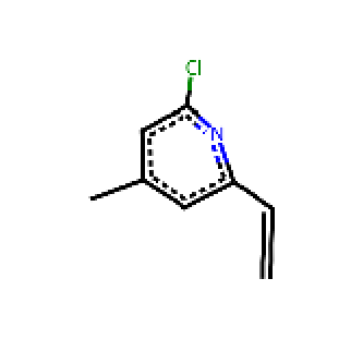 C=Cc1cc(C)cc(Cl)n1